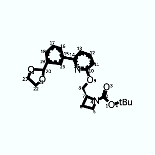 CC(C)(C)OC(=O)N1CC[C@H]1COc1cccc(-c2cccc(C3OCCO3)c2)n1